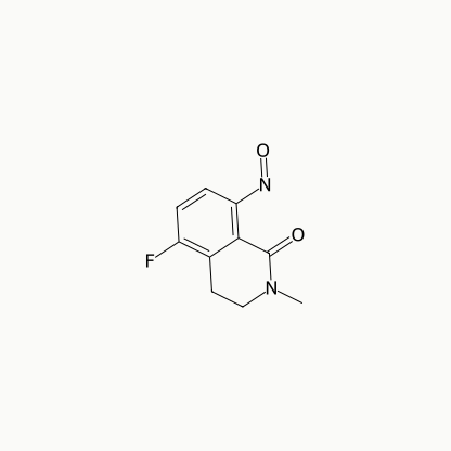 CN1CCc2c(F)ccc(N=O)c2C1=O